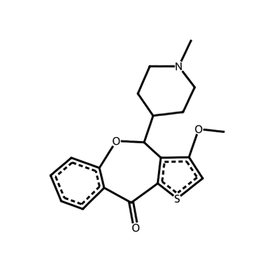 COc1csc2c1C(C1CCN(C)CC1)Oc1ccccc1C2=O